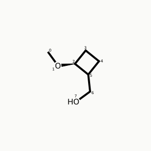 CO[C@H]1CCC1CO